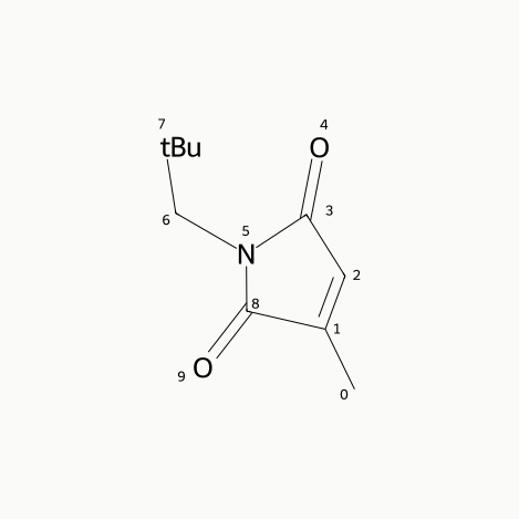 CC1=CC(=O)N(CC(C)(C)C)C1=O